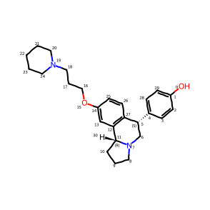 Oc1ccc([C@@H]2CN3CCC[C@@H]3c3cc(OCCCN4CCCCC4)ccc32)cc1